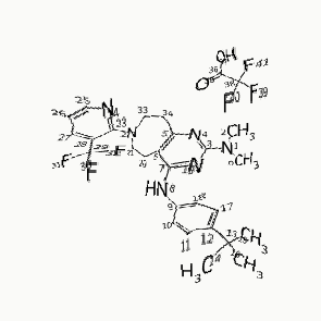 CN(C)c1nc2c(c(Nc3ccc(C(C)(C)C)cc3)n1)CCN(c1ncccc1C(F)(F)F)CC2.O=C(O)C(F)(F)F